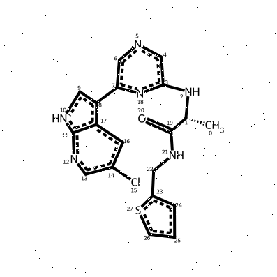 C[C@@H](Nc1cncc(-c2c[nH]c3ncc(Cl)cc23)n1)C(=O)NCc1cccs1